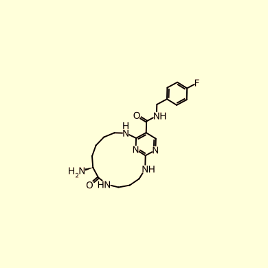 N[C@H]1CCCCNc2nc(ncc2C(=O)NCc2ccc(F)cc2)NCCCNC1=O